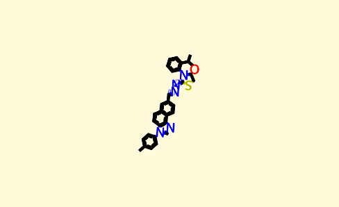 Cc1ccc(-n2cnc3c4ccc(/C=N/N=C5\SCC(=O)N5c5ccccc5C(C)C)cc4ccc32)cc1